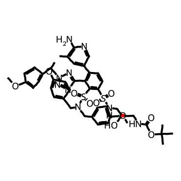 COc1ccc(CN(Cc2ccc(OC)cc2)S(=O)(=O)c2c(S(=O)(=O)NCC(O)CNC(=O)OC(C)(C)C)ccc(-c3cnc(N)c(C)c3)c2-c2nnn(Cc3ccc(OC)cc3)n2)cc1